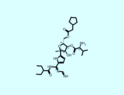 CCC(CC)C(=O)N/C(=N/C=N)c1ccc([C@]2(C)O[C@H](COC(=O)CC3CCCC3)[C@@H](OC(=O)[C@@H](N)C(C)C)[C@H]2O)[nH]1